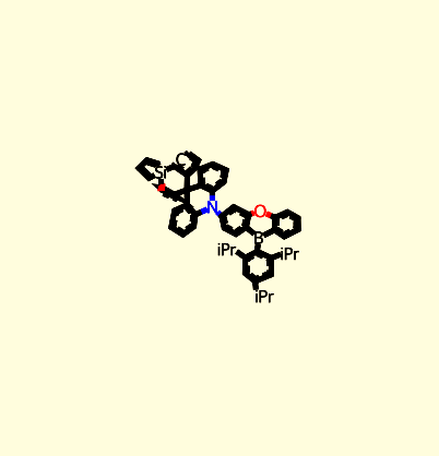 CC(C)c1cc(C(C)C)c(B2c3ccccc3Oc3cc(N4c5ccccc5C5(c6ccccc64)c4ccccc4[Si]4(C=CC=C4)c4ccccc45)ccc32)c(C(C)C)c1